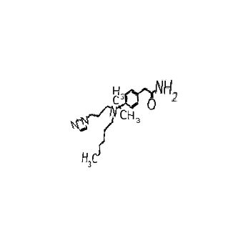 CCCCCCN(CCCn1ccnc1)C(C)(C)c1ccc(CC(N)=O)cc1